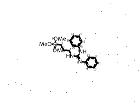 CO[Si](CCCNC(=Nc1ccccc1)Nc1ccccc1)(OC)OC